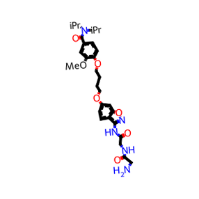 COc1cc(C(=O)N(C(C)C)C(C)C)ccc1OCCCCOc1ccc2c(NC(=O)CNC(=O)CN)noc2c1